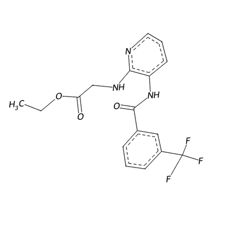 CCOC(=O)CNc1ncccc1NC(=O)c1cccc(C(F)(F)F)c1